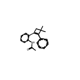 CC(=O)Nc1ccccc1C1=C(c2ccccc2)C(C)(C)C1